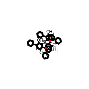 Cc1cc(-c2ccccc2)c(C)c([Si](Cl)(c2c(C)c(-c3ccccc3)cc(C)c2-c2ccccc2)c2c(C)c(-c3ccccc3)cc(C)c2-c2ccccc2)c1-c1ccccc1